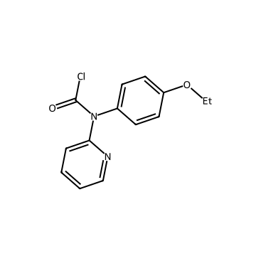 CCOc1ccc(N(C(=O)Cl)c2ccccn2)cc1